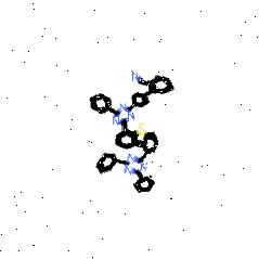 N#Cc1ccccc1-c1ccc(-c2nc(-c3ccccc3)nc(-c3cccc4c3sc3cccc(-c5nc(-c6ccccc6)nc(-c6ccccc6)n5)c34)n2)cc1